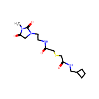 CN1C(=O)CN(CCNC(=O)CSCC(=O)NCC2CCC2)C1=O